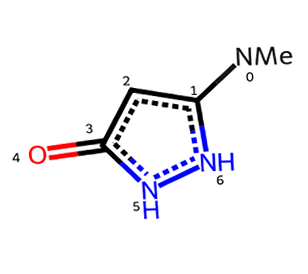 CNc1cc(=O)[nH][nH]1